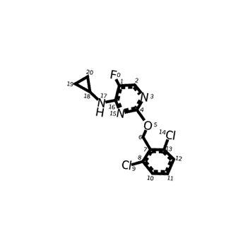 Fc1cnc(OCc2c(Cl)cccc2Cl)nc1NC1CC1